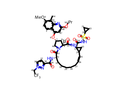 COc1ccc2c(O[C@@H]3C[C@H]4C(=O)N[C@]5(C(=O)NS(=O)(=O)C6CC6)CC5/C=C\CCCCC[C@H](NC(=O)c5ccn(CC(F)(F)F)n5)C(=O)N4C3)cc(OC(C)C)nc2c1C